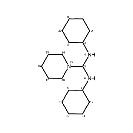 C1CCC(NC(NC2CCCCC2)N2CCCCC2)CC1